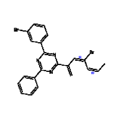 C=C(/C=C(Br)\C=C/C)c1nc(-c2ccccc2)nc(-c2cccc(Br)c2)n1